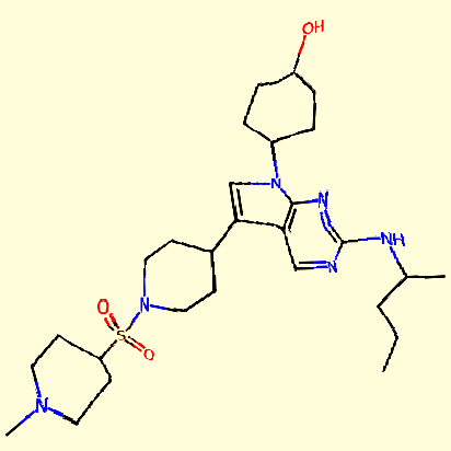 CCCC(C)Nc1ncc2c(C3CCN(S(=O)(=O)C4CCN(C)CC4)CC3)cn(C3CCC(O)CC3)c2n1